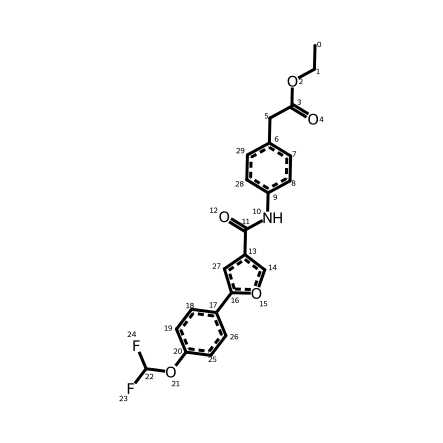 CCOC(=O)Cc1ccc(NC(=O)c2coc(-c3ccc(OC(F)F)cc3)c2)cc1